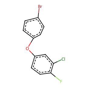 Fc1ccc(Oc2ccc(Br)cc2)cc1Cl